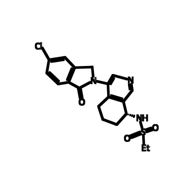 CCS(=O)(=O)N[C@@H]1CCCc2c1cncc2N1Cc2cc(Cl)ccc2C1=O